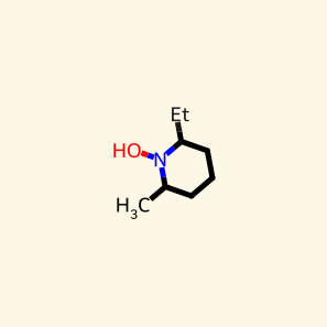 CCC1CCCC(C)N1O